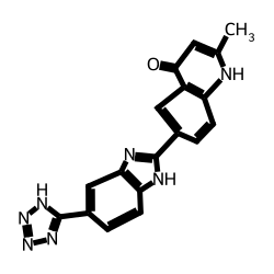 Cc1cc(=O)c2cc(-c3nc4cc(-c5nnn[nH]5)ccc4[nH]3)ccc2[nH]1